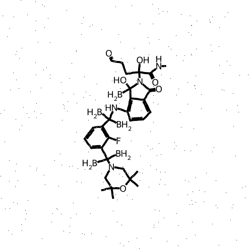 BC(B)(Nc1cccc2c1C(B)(O)N(C(O)(CCC=O)C(=O)NC)C2=O)c1cccc(C(B)(B)N2CC(C)(C)OC(C)(C)C2)c1F